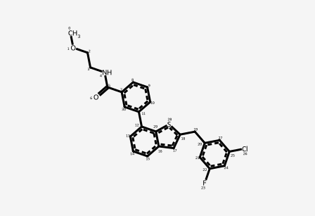 COCCNC(=O)c1cccc(-c2cccc3cc(Cc4cc(F)cc(Cl)c4)sc23)c1